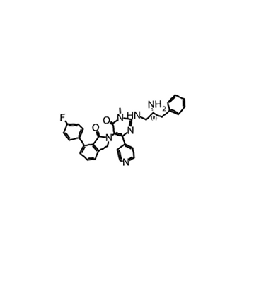 Cn1c(NC[C@H](N)Cc2ccccc2)nc(-c2ccncc2)c(N2Cc3cccc(-c4ccc(F)cc4)c3C2=O)c1=O